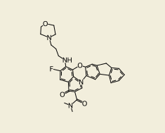 CN(C)C(=O)c1cn2c3c(c(NCCCN4CCOCC4)c(F)cc3c1=O)Oc1cc3c(cc1-2)-c1ccccc1C3